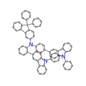 c1ccc(-n2c3ccccc3c3cc(-c4ccc(N(c5ccc6c(c5)-c5ccccc5C6(c5ccccc5)c5ccccc5)c5ccccc5-c5ccc6c(c5)c5ccccc5n6-c5ccccc5)cc4)ccc32)cc1